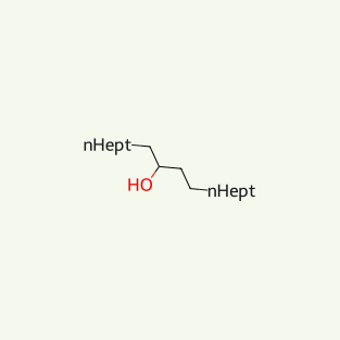 [CH2]CCCCCCCCC(O)CCCCCCCC